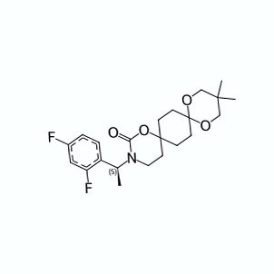 C[C@@H](c1ccc(F)cc1F)N1CCC2(CCC3(CC2)OCC(C)(C)CO3)OC1=O